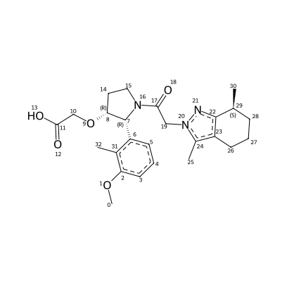 COc1cccc([C@@H]2[C@H](OCC(=O)O)CCN2C(=O)Cn2nc3c(c2C)CCC[C@@H]3C)c1C